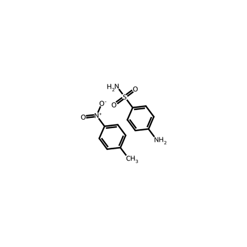 Cc1ccc([N+](=O)[O-])cc1.Nc1ccc(S(N)(=O)=O)cc1